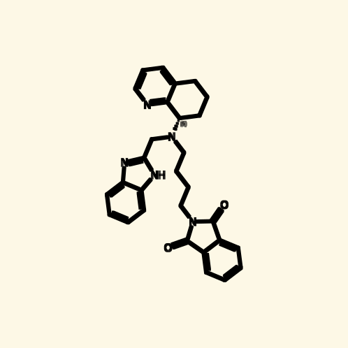 O=C1c2ccccc2C(=O)N1CCCCN(Cc1nc2ccccc2[nH]1)[C@H]1CCCc2cccnc21